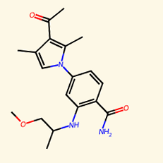 COCC(C)Nc1cc(-n2cc(C)c(C(C)=O)c2C)ccc1C(N)=O